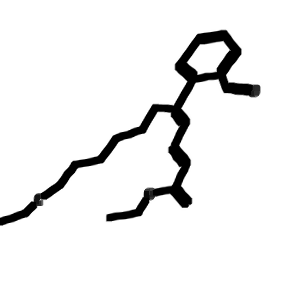 C=C(C=CC=C(CCCCCCCCC)c1ccccc1C=O)OCC